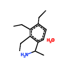 CCc1ccc(C(C)N)c(CC)c1CC.O